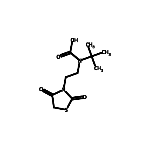 CC(C)(C)N(CCN1C(=O)CSC1=O)C(=O)O